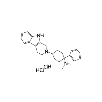 CN(C)C1(c2ccccc2)CCC(N2CCc3c([nH]c4ccccc34)C2)CC1.Cl.Cl